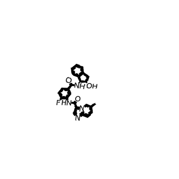 Cc1ccc2ncc(C(=O)Nc3cc(C(=O)N[C@H]4c5ccccc5C[C@H]4O)ccc3F)n2c1